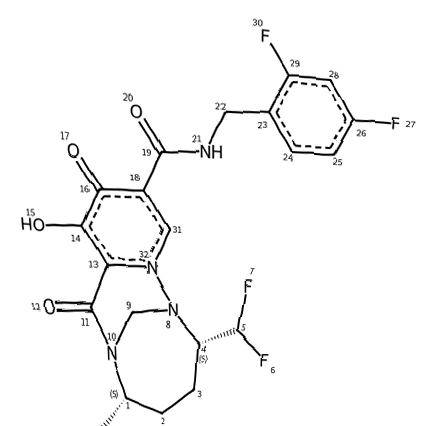 C[C@H]1CC[C@@H](C(F)F)N2CN1C(=O)c1c(O)c(=O)c(C(=O)NCc3ccc(F)cc3F)cn12